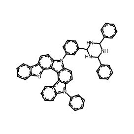 c1ccc(C2NC(c3ccccc3)NC(c3cccc(-n4c5ccc6c7ccccc7oc6c5c5c6c7ccccc7n(-c7ccccc7)c6ccc54)c3)N2)cc1